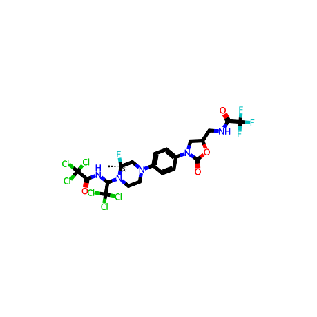 C[C@]1(F)CN(c2ccc(N3CC(CNC(=O)C(F)(F)F)OC3=O)cc2)CCN1C(NC(=O)C(Cl)(Cl)Cl)C(Cl)(Cl)Cl